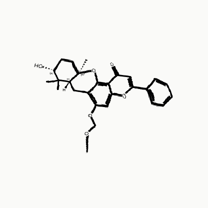 COCOc1cc2oc(-c3ccccc3)cc(=O)c2c2c1C[C@@H]1C(C)(C)[C@H](O)CC[C@@]1(C)O2